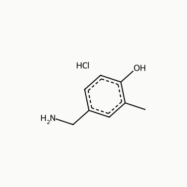 Cc1cc(CN)ccc1O.Cl